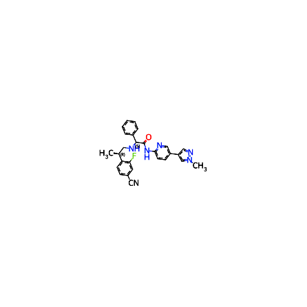 C[C@@H](CN[C@H](C(=O)Nc1ccc(-c2cnn(C)c2)cn1)c1ccccc1)c1ccc(C#N)cc1F